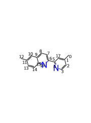 Cc1ccnc(-c2ccc3cc(C)ccc3n2)c1